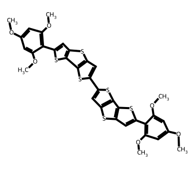 COc1cc(OC)c(-c2cc3sc4cc(-c5cc6sc7cc(-c8c(OC)cc(OC)cc8OC)sc7c6s5)sc4c3s2)c(OC)c1